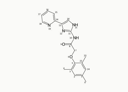 Cc1cc(C)c(OCC(=O)Nc2nc(-c3ccccn3)c[nH]2)c(C)c1